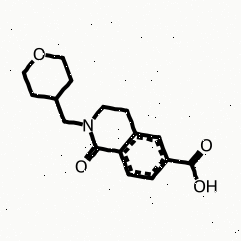 O=C(O)c1ccc2c(c1)CCN(CC1CCOCC1)C2=O